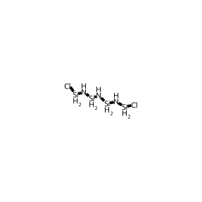 Cl[SiH2]N[SiH2]N[SiH2]N[SiH2]Cl